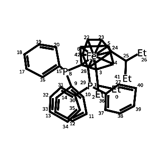 CCC(CC)[C]12[CH]3[CH]4[CH]5[C]1(P(c1ccccc1)c1ccccc1)[Fe]43521678[CH]2[CH]1[C]6(C(CC)CC)[C]7(P(c1ccccc1)c1ccccc1)[CH]28